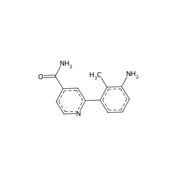 Cc1c(N)cccc1-c1cc(C(N)=O)ccn1